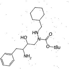 CC(C)(C)OC(=O)N(CC(O)C(N)Cc1ccccc1)NCC1CCCCC1